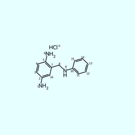 Cl.Nc1ccc(N)c(CNc2ccccc2)c1